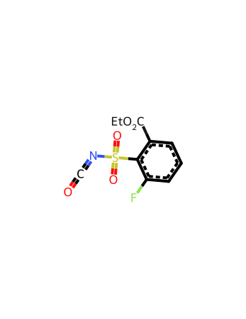 CCOC(=O)c1cccc(F)c1S(=O)(=O)N=C=O